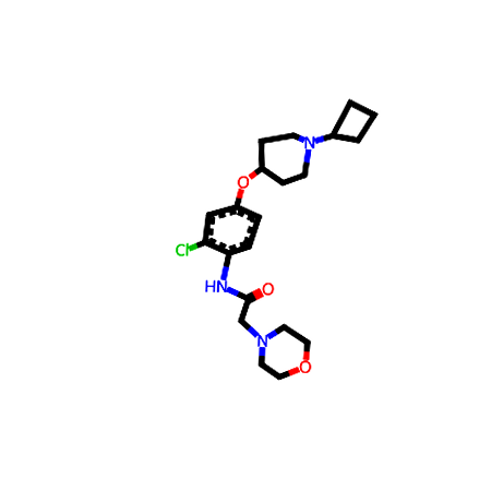 O=C(CN1CCOCC1)Nc1ccc(OC2CCN(C3CCC3)CC2)cc1Cl